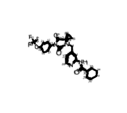 O=C(Nc1cc(CN2C(=O)N(c3ccc(OC(F)(F)F)cc3)C(=O)C23CC3)ccn1)C1CCCCC1